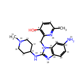 Cc1ccc(O)c(Cn2c(NC3CCN(C)CC3)nc3ccc(N)cc32)n1